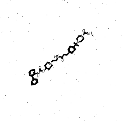 CC(C)(c1ccc(CCC(=O)NCCN2CCC(OC(=O)Nc3ccccc3-c3ccccc3)CC2)cc1)N1CCN(C(N)=O)CC1